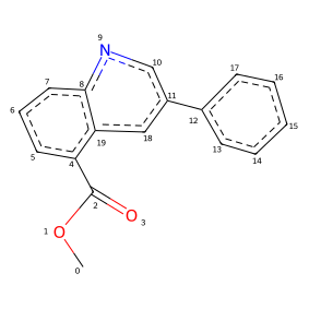 COC(=O)c1cccc2ncc(-c3ccccc3)cc12